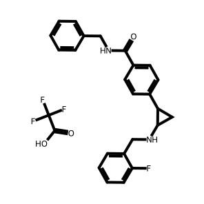 O=C(NCc1ccccc1)c1ccc(C2CC2NCc2ccccc2F)cc1.O=C(O)C(F)(F)F